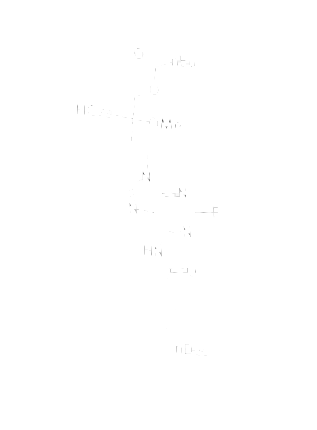 C#CC(CCn1cnc2c(NC(=O)CCCCCCCCCCCCC)nc(F)nc21)(COC(=O)CCCC)OC